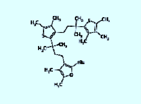 Cc1oc(C(C)(C)C)c(CCC(C)(C)c2sc(C)c(C)c2CCC(C)(C)c2sc(C)c(C)c2C)c1C